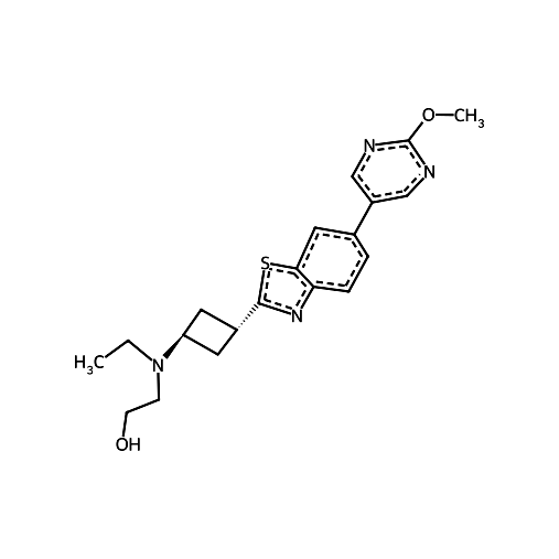 CCN(CCO)[C@H]1C[C@H](c2nc3ccc(-c4cnc(OC)nc4)cc3s2)C1